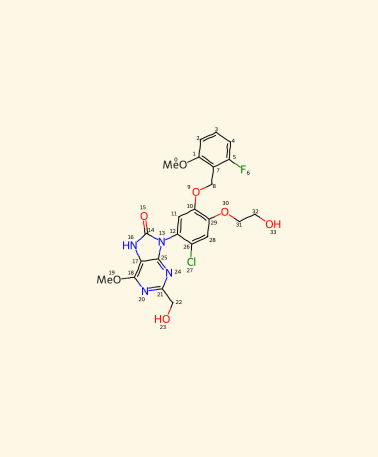 COc1cccc(F)c1COc1cc(-n2c(=O)[nH]c3c(OC)nc(CO)nc32)c(Cl)cc1OCCO